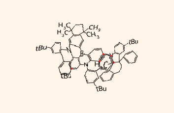 CC(C)(C)c1ccc(N2c3cc(N4c5ccc(C(C)(C)C)cc5C5(c6ccccc6)CCc6ccccc6C45C)ccc3B3c4cc5c(cc4N(c4ccc(C(C)(C)C)cc4-c4ccccc4)c4cc(C(C)(C)C)cc2c43)C(C)(C)CCC5(C)C)c(-c2ccccc2)c1